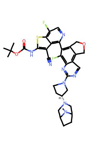 CN1C2CCC1CN([C@@H]1CCN(c3ncc4c5c(c(-c6ncc(F)c7sc(NC(=O)OC(C)(C)C)c(C#N)c67)c(F)c4n3)COC5)C1)C2